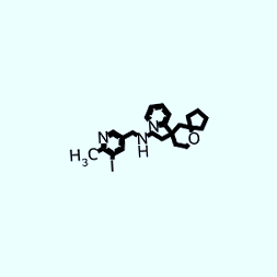 Cc1ncc(CNCCC2(c3ccccn3)CCOC3(CCCC3)C2)cc1I